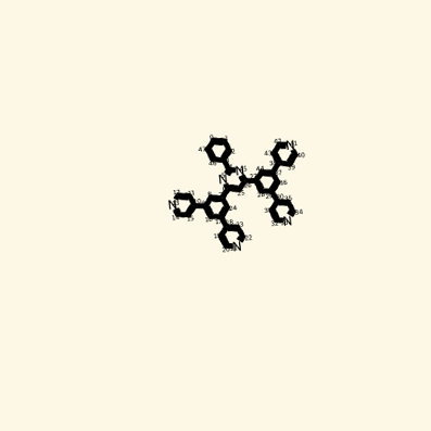 c1ccc(-c2nc(-c3cc(-c4ccncc4)cc(-c4ccncc4)c3)cc(-c3cc(-c4ccncc4)cc(-c4ccncc4)c3)n2)cc1